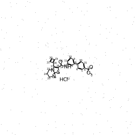 COC(=O)c1ccc(-c2cccc(NC(=O)C3=C(C4=CC=C4)N4CCCN=C4S3)c2)cc1.Cl